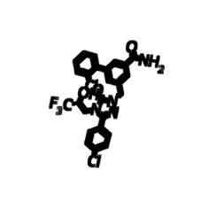 NC(=O)c1cc(Cn2nc(-c3ccc(Cl)cc3)n(C[C@H](O)C(F)(F)F)c2=O)cc(-c2ccccc2Cl)c1